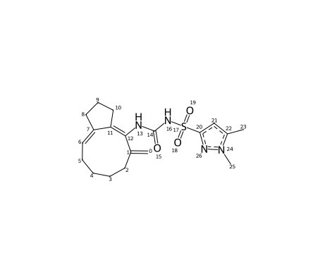 C=C1CCCC/C=C2/CCC/C2=C/1NC(=O)NS(=O)(=O)c1cc(C)n(C)n1